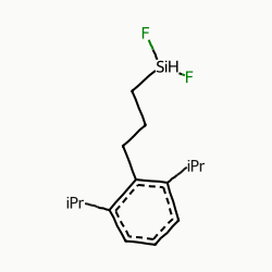 CC(C)c1cccc(C(C)C)c1CCC[SiH](F)F